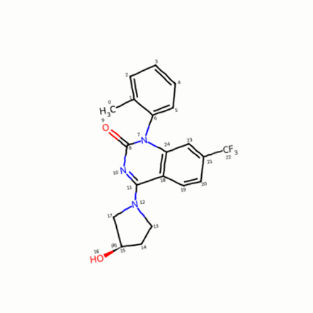 Cc1ccccc1-n1c(=O)nc(N2CC[C@@H](O)C2)c2ccc(C(F)(F)F)cc21